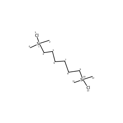 C[Si](C)(Cl)CCCCCC[Si](C)(C)Cl